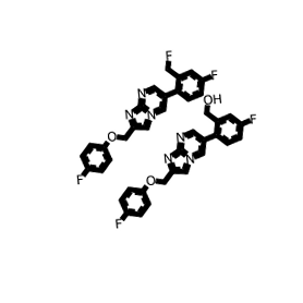 FCc1cc(F)ccc1-c1cnc2nc(COc3ccc(F)cc3)cn2c1.OCc1cc(F)ccc1-c1cnc2nc(COc3ccc(F)cc3)cn2c1